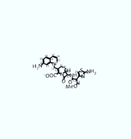 CO/N=C(\C(=O)NC1C(=O)N2C(C(=O)[O-])=C(C[n+]3cccc4ccc(N)cc43)CS[C@H]12)c1csc(N)n1